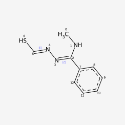 CN/C(=N\N=C\S)c1ccccc1